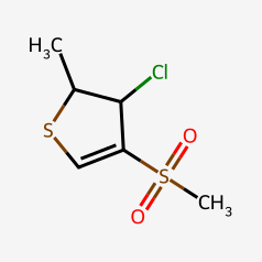 CC1SC=C(S(C)(=O)=O)C1Cl